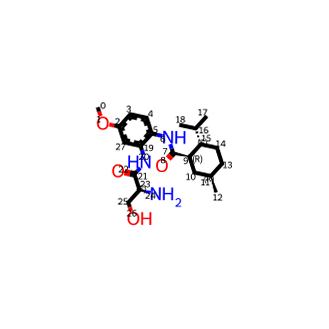 COc1ccc(NC(=O)[C@@H]2C[C@H](C)CC[C@H]2C(C)C)c(NC(=O)[C@@H](N)CO)c1